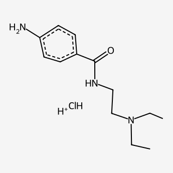 CCN(CC)CCNC(=O)c1ccc(N)cc1.Cl.[H+]